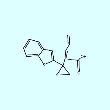 C=CC=C(C(=O)O)C1(c2cc3ccccc3s2)CC1